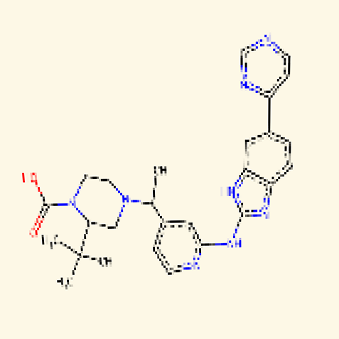 CC(c1ccnc(Nc2nc3ccc(-c4ccncn4)cc3[nH]2)c1)N1CCN(C(=O)O)C(C(C)(C)C)C1